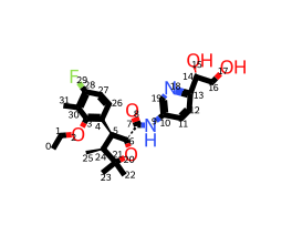 CCOc1c([C@H]2[C@H](C(=O)Nc3ccc([C@H](O)CO)nc3)OC(C)(C)[C@H]2C)ccc(F)c1C